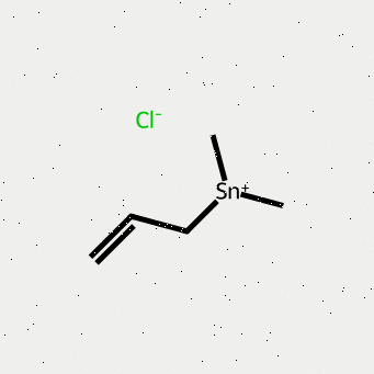 C=C[CH2][Sn+]([CH3])[CH3].[Cl-]